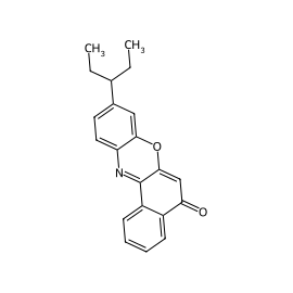 CCC(CC)c1ccc2nc3c4ccccc4c(=O)cc-3oc2c1